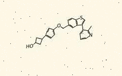 Cc1ncccc1-c1csc2ccc(COc3ccc(C4CC(O)C4)cc3)cc12